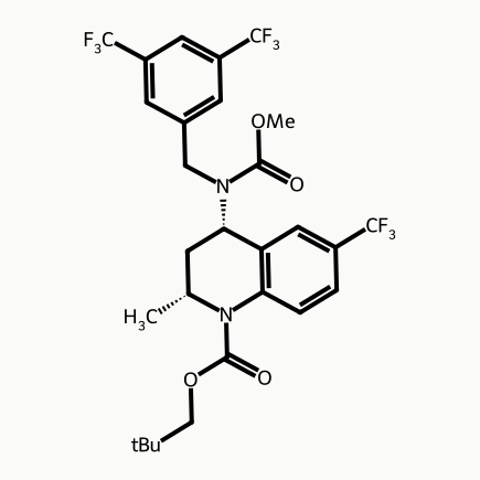 COC(=O)N(Cc1cc(C(F)(F)F)cc(C(F)(F)F)c1)[C@H]1C[C@@H](C)N(C(=O)OCC(C)(C)C)c2ccc(C(F)(F)F)cc21